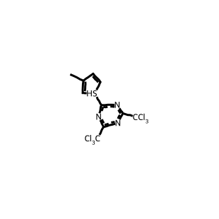 CC1=C[SH](c2nc(C(Cl)(Cl)Cl)nc(C(Cl)(Cl)Cl)n2)C=C1